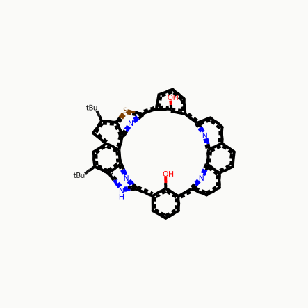 CC(C)(C)c1cc2cc(C(C)(C)C)c3sc4nc3c2c2nc([nH]c12)c1cccc(c1O)c1ccc2ccc3ccc(nc3c2n1)c1cccc4c1O